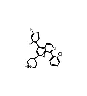 Fc1ccc(-c2cc(C3CCNCC3)nc3c(-c4ccccc4Cl)nccc23)c(F)c1